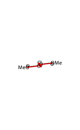 COC(=O)CCCCCCCCCCCCCCCCOc1c2ccccc2c(OCCCCCCCCCCCCCCCCC(=O)OC)c2cc(Cl)ccc12